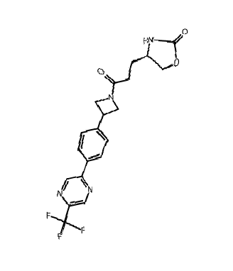 O=C1N[C@H](CCC(=O)N2CC(c3ccc(-c4cnc(C(F)(F)F)cn4)cc3)C2)CO1